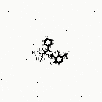 CN(C)C(C)(C)C(NC(=O)c1c(Cl)ccc(C(F)(F)F)c1Cl)c1ccccc1